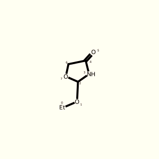 CCOC1NC(=O)CO1